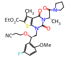 CCOC(=O)c1sc2c(c1C)c(=O)n([C@@H](C)C(=O)N1CCCC1)c(=O)n2C[C@H](OCCC#N)c1cc(F)ccc1OC